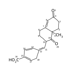 CC12CCC(=O)C=C1CCC(C=C1C=CC(C(=O)O)=CC1)C2=O